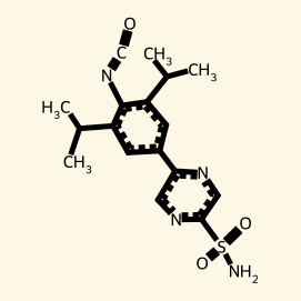 CC(C)c1cc(-c2cnc(S(N)(=O)=O)cn2)cc(C(C)C)c1N=C=O